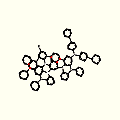 Fc1cc(-c2ccccc2)c(N2c3cc(N(c4ccccc4)c4ccccc4)cc4c3B(c3ccccc3N4c3ccccc3)c3cc4c(c(F)c32)Sc2cc(N(c3ccc(-c5ccccc5)cc3)c3ccc(-c5ccccc5)cc3)cc3c2B4c2ccccc2N3c2ccccc2)c(-c2ccccc2)c1